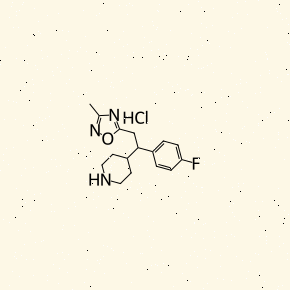 Cc1noc(CC(c2ccc(F)cc2)C2CCNCC2)n1.Cl